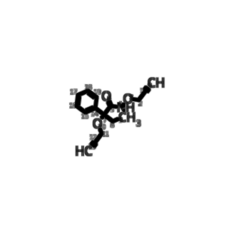 C#CCONC(=O)C(CC)(OCC#C)c1ccccc1